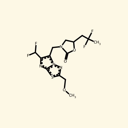 COCc1nn2c(CN3CC(CC(C)(F)F)OC3=O)c(C(F)F)nc2s1